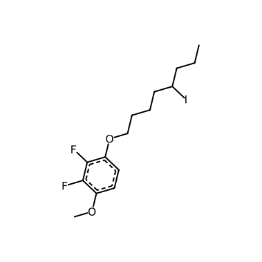 CCCC(I)CCCCOc1ccc(OC)c(F)c1F